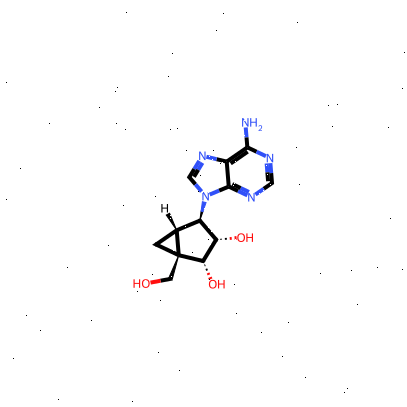 Nc1ncnc2c1ncn2[C@H]1[C@H](O)[C@H](O)[C@]2(CO)C[C@H]12